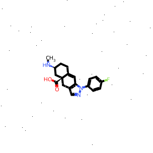 CN[C@H]1CCC2=Cc3c(cnn3-c3ccc(F)cc3)C[C@]2(C(=O)O)C1